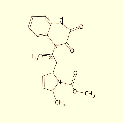 COC(=O)N1C(C)C=CC1C[C@@H](C)n1c(=O)c(=O)[nH]c2ccccc21